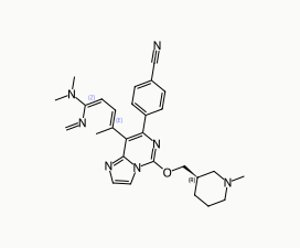 C=N/C(=C\C=C(/C)c1c(-c2ccc(C#N)cc2)nc(OC[C@@H]2CCCN(C)C2)n2ccnc12)N(C)C